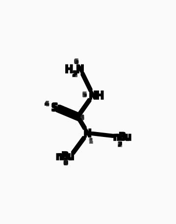 CCCCN(CCCC)C(=S)NN